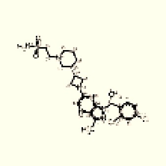 Cc1nn([C@H](C)c2ccc(Cl)cc2Cl)c2nc(N3CC([C@H]4CCCN(CCS(N)(=O)=O)C4)C3)cnc12